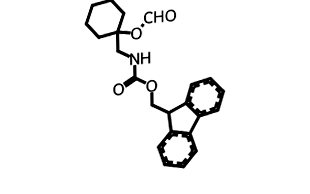 O=COC1(CNC(=O)OCC2c3ccccc3-c3ccccc32)CCCCC1